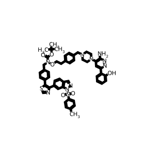 Cc1ccc(S(=O)(=O)n2ncc3ccc(-c4ncsc4-c4ccc(CN(OCCc5ccc(CN6CCN(c7cc(-c8ccccc8O)nnc7N)CC6)cc5)C(=O)OC(C)(C)C)cc4)cc32)cc1